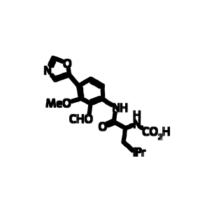 COc1c(-c2cnco2)ccc(NC(=O)C(CC(C)C)NC(=O)O)c1C=O